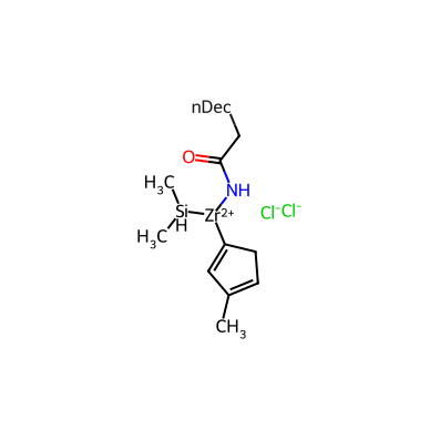 CCCCCCCCCCCC(=O)[NH][Zr+2]([C]1=CC(C)=CC1)[SiH](C)C.[Cl-].[Cl-]